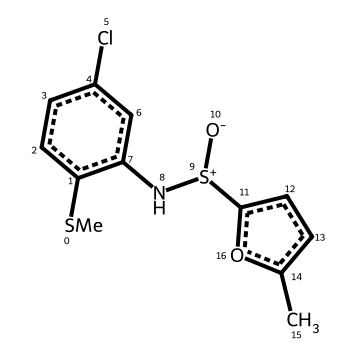 CSc1ccc(Cl)cc1N[S+]([O-])c1ccc(C)o1